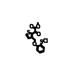 COC(=O)C(=O)c1sccc1COc1ccccc1SCl